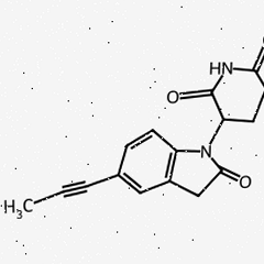 CC#Cc1ccc2c(c1)CC(=O)N2C1CCC(=O)NC1=O